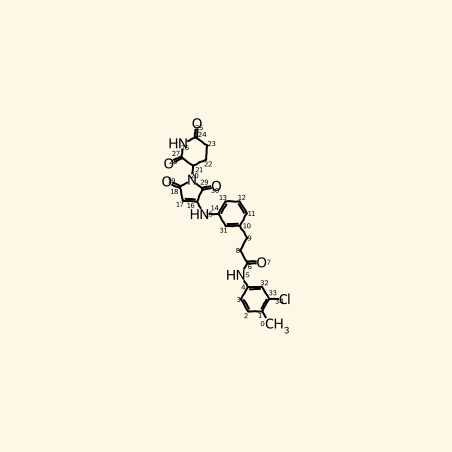 Cc1ccc(NC(=O)CCc2cccc(NC3=CC(=O)N(C4CCC(=O)NC4=O)C3=O)c2)cc1Cl